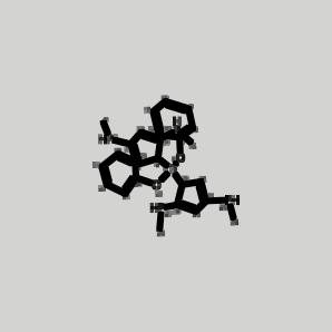 CPC1=C[CH]([Ti]([O]c2ccccc2)([O]c2ccccc2)[CH]2C=C(PC)C=C2PC)C(PC)=C1